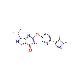 Cc1c(-c2ccc(Oc3nc4c(cnn4C(C)C)c(=O)n3C)cn2)cnn1C